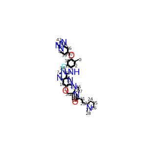 Cc1cc(Nc2ncnc3cc4c(nc23)N2CCN(C(=O)/C=C/[C@H]3CCCN3C)[C@@H](CO4)C2)c(F)cc1Oc1ccn2ncnc2c1